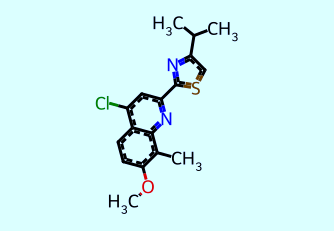 COc1ccc2c(Cl)cc(-c3nc(C(C)C)cs3)nc2c1C